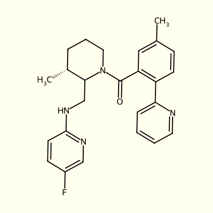 Cc1ccc(-c2ccccn2)c(C(=O)N2CCC[C@@H](C)C2CNc2ccc(F)cn2)c1